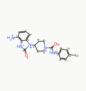 Nc1cccc2c1[nH]c(=O)n2C1CCN(C(=O)Nc2ccc(I)cc2)CC1